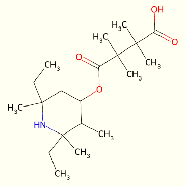 CCC1(C)CC(OC(=O)C(C)(C)C(C)(C)C(=O)O)C(C)C(C)(CC)N1